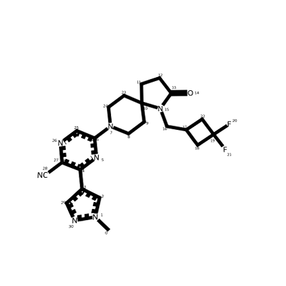 Cn1cc(-c2nc(N3CCC4(CCC(=O)N4CC4CC(F)(F)C4)CC3)cnc2C#N)cn1